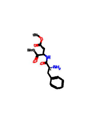 COC(=O)C(CC(=O)OC(C)(C)C)NC(=O)[C@H](N)Cc1ccccc1